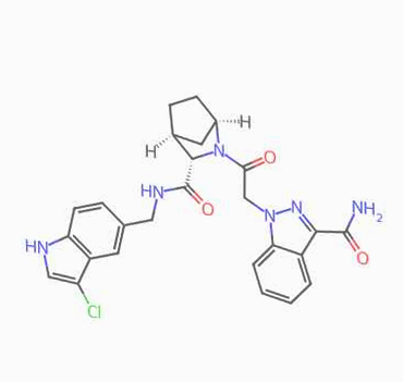 NC(=O)c1nn(CC(=O)N2[C@@H]3CC[C@@H](C3)[C@H]2C(=O)NCc2ccc3[nH]cc(Cl)c3c2)c2ccccc12